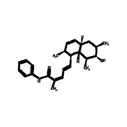 CC(=CC=C[C@@H]1[C@H]2[C@H](C)[C@@H](O)[C@H](C)C[C@@H]2C=C[C@@H]1C)C(=O)Nc1ccccc1